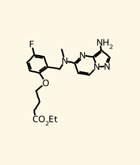 CCOC(=O)CCCOc1ccc(F)cc1CN(C)c1ccn2ncc(N)c2n1